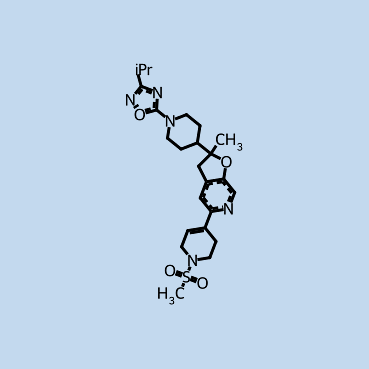 CC(C)c1noc(N2CCC(C3(C)Cc4cc(C5=CCN(S(C)(=O)=O)CC5)ncc4O3)CC2)n1